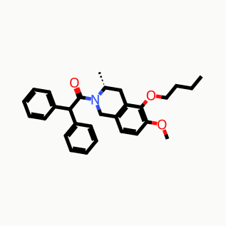 CCCCOc1c(OC)ccc2c1C[C@@H](C)N(C(=O)C(c1ccccc1)c1ccccc1)C2